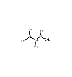 CCN(CC)[SiH](N(C)C)C(C)(C)C